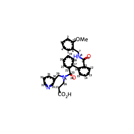 COc1ccccc1CNC(=O)c1ccccc1-c1ccccc1C(=O)N(CCC(=O)O)Cc1cccnc1